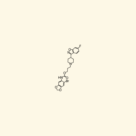 O=C(Nc1cc2c(cc1Br)OCO2)OCCCN1CCC(c2noc3cc(F)ccc23)CC1